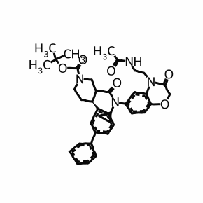 CC(=O)NCCN1C(=O)COc2ccc(N(C(=O)C3CN(C(=O)OC(C)(C)C)CC[C@@H]3c3cccc(-c4ccccc4)c3)C3CC3)cc21